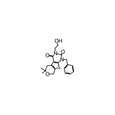 CC1(C)Cc2c(sc3c2c(=O)n(CCO)c(=O)n3Cc2ccccc2)CO1